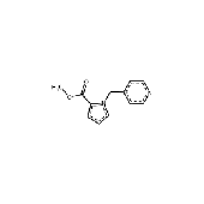 COC(=O)c1cccn1Cc1ccncc1